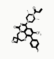 C=CC(=O)N1[C@H](C)CN(c2nc(=O)n3c4c(c(-c5ccc(F)cc5)c(C(F)(F)F)cc24)SCC2(COC2)C3)C[C@@H]1C